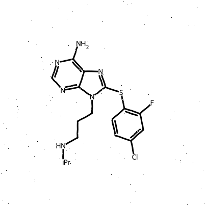 CC(C)NCCCn1c(Sc2ccc(Cl)cc2F)nc2c(N)ncnc21